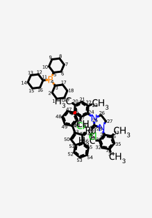 C1CCC(P(C2CCCCC2)C2CCCCC2)CC1.Cc1cc(C)c(N2CCN(c3c(C)cc(C)cc3C)[C]2=[Ru]([Cl])([Cl])=[C]2C(c3ccccc3)=Cc3ccccc32)c(C)c1